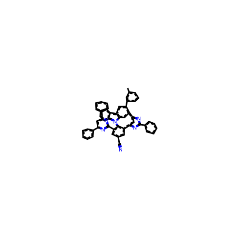 Cc1cccc(-c2cc3c4ccccc4n4c3cc2c2cc(nc(-c3ccccc3)n2)c2cc(C#N)cc(-c3nc(-c5ccccc5)cc(-c5ccccc5)n3)c24)c1